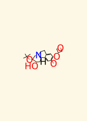 COc1cc2c(cc1OC1COC1)CCN1C[C@@H](OC(C)(C)C)[C@H](O)C[C@H]21